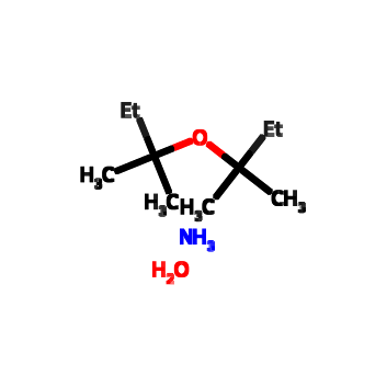 CCC(C)(C)OC(C)(C)CC.N.O